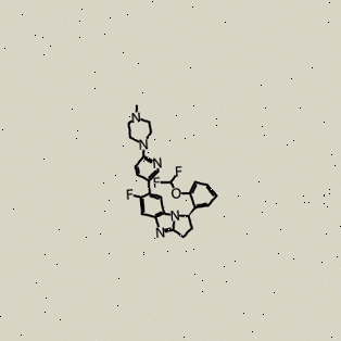 CN1CCN(c2ccc(-c3cc4c(cc3F)nc3n4[C@@H](c4ccccc4OC(F)F)CC3)cn2)CC1